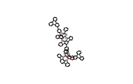 c1ccc(-c2cc(-c3ccc4c5ccccc5c5ccccc5c4c3)cc(-n3c4ccccc4c4ccc5c6ccccc6n(-c6nc(-c7ccccc7)nc(-c7ccc(-c8cc9c%10ccccc%10n(-c%10nc(-c%11ccccc%11)nc(-c%11ccccc%11)n%10)c9c9c8c8ccccc8n9-c8ccc(-c9ccc(-c%10ccc%11c%12ccccc%12c%12ccccc%12c%11c%10)cc9)cc8)cc7)n6)c5c43)c2)cc1